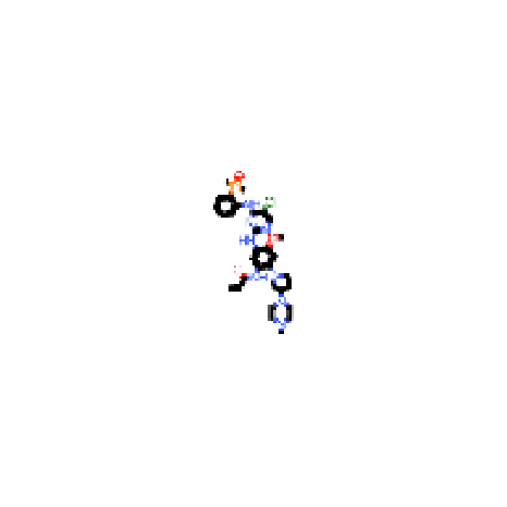 C=CC(=O)Nc1cc(Nc2ncc(Cl)c(Nc3ccccc3P(C)(C)=O)n2)c(OC)cc1N1CCC(N2CCN(C)CC2)C1